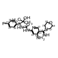 CC(C)(O)[C@@H](NC(=O)Nc1cc(N)c(C(=N)N2CCOCC2)cn1)c1ccc(F)cc1